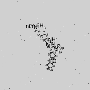 CCCN(C)CCCc1ccc(Nc2nccc(N3OCCC3c3cccc(Oc4ccccc4)c3)n2)cc1